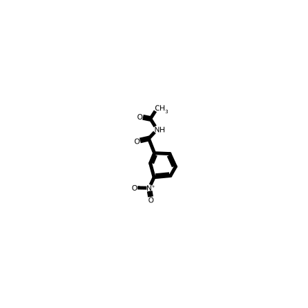 CC(=O)NC(=O)c1cccc([N+](=O)[O-])c1